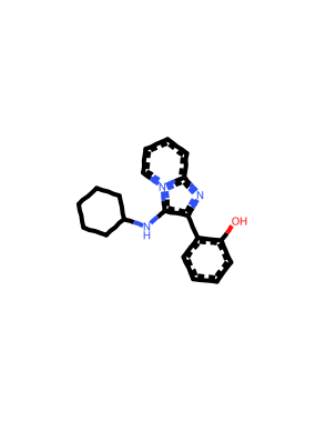 Oc1ccccc1-c1nc2ccccn2c1NC1CCCCC1